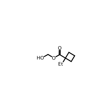 CCC1(C(=O)OCO)CCC1